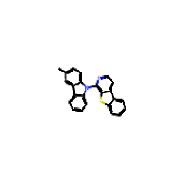 Cc1ccc2c(c1)c1ccccc1n2-c1nccc2c1sc1ccccc12